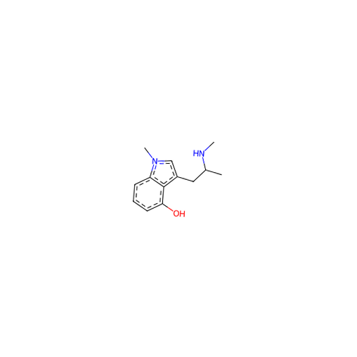 CNC(C)Cc1cn(C)c2cccc(O)c12